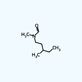 CCC(C)CCN(C)C=O